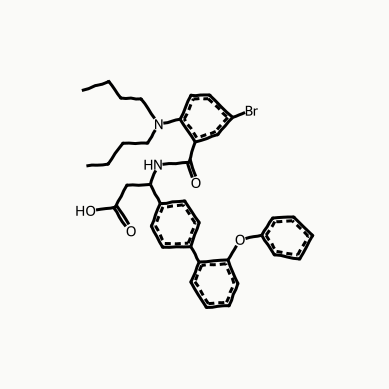 CCCCN(CCCC)c1ccc(Br)cc1C(=O)NC(CC(=O)O)c1ccc(-c2ccccc2Oc2ccccc2)cc1